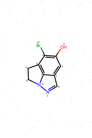 Oc1cc2cnn3c2c(c1Br)CC3